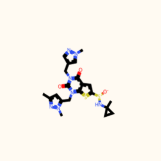 Cc1cc(Cn2c(=O)n(Cc3cnn(C)c3)c(=O)c3cc([S+]([O-])NC4(C)CC4)sc32)n(C)n1